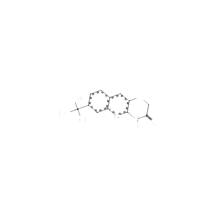 CC(C)(C)c1ccc2cc3c(nc2c1)NC(=O)CO3